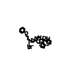 C[N+](C)(CCCOc1ccccc1)Cc1nnc(C(O)(c2cccs2)c2cccs2)o1.[Br-]